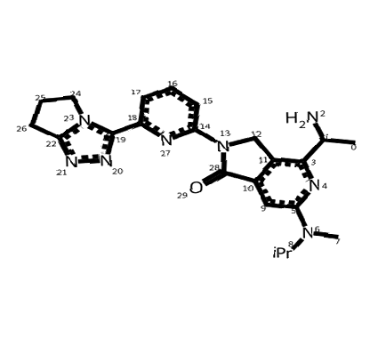 CC(N)c1nc(N(C)C(C)C)cc2c1CN(c1cccc(-c3nnc4n3CCC4)n1)C2=O